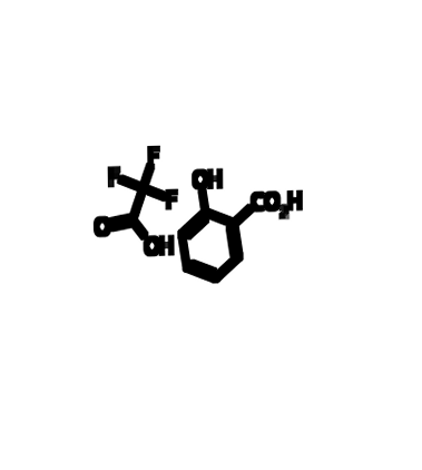 O=C(O)C(F)(F)F.O=C(O)c1ccccc1O